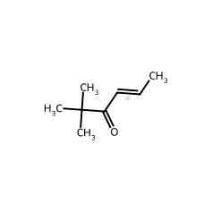 C/C=C/C(=O)C(C)(C)C